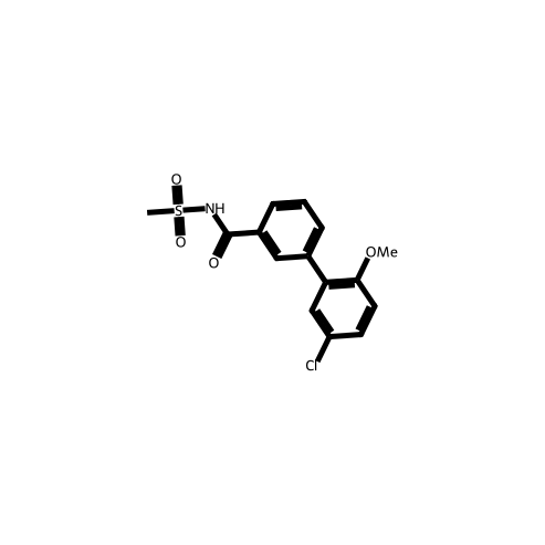 COc1ccc(Cl)cc1-c1cccc(C(=O)NS(C)(=O)=O)c1